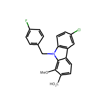 COc1c(C(=O)O)ccc2c3cc(Cl)ccc3n(Cc3ccc(F)cc3)c12